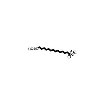 CCCCCCCCCCCCCCCCCCCCCCCC(Cl)[Si](C)(C)Cl